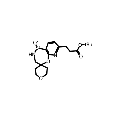 CC(C)(C)OC(=O)CCc1ccc2c(n1)OC1(CCOCC1)CN[S+]2[O-]